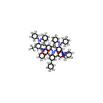 CC(C)(C)c1cc2c3c(c1)N(c1ccccc1)c1cc4c(cc1B3c1ccccc1N2c1ccccc1)B1c2ccccc2N(c2ccccc2)c2cc(N3C5CC6CC(C5)CC3C6)cc(c21)N4c1c(-c2ccccc2)cc(-c2ccccc2)cc1-c1ccccc1